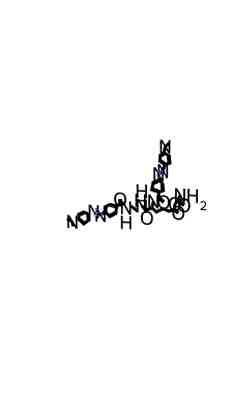 CN(C)c1ccc(/N=N/c2ccc(C(=O)NCCNC(=O)C(CCCC(=O)OC(N)=O)NC(=O)c3ccc(/N=N/c4ccc(N(C)C)cc4)cc3)cc2)cc1